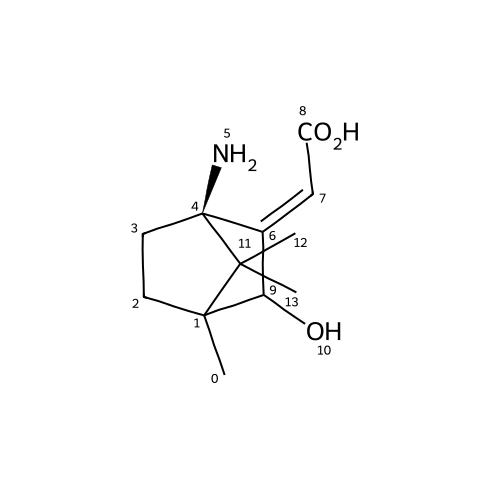 CC12CC[C@](N)(/C(=C\C(=O)O)C1O)C2(C)C